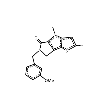 COc1cccc(CN2Cc3c(n(C)c4cc(C)sc34)C2=O)c1